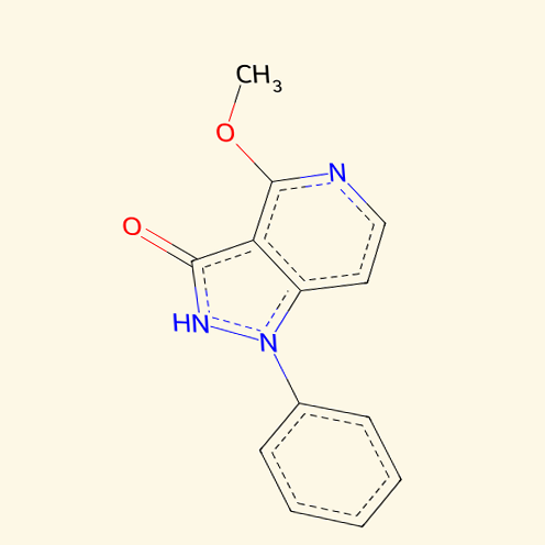 COc1nccc2c1c(=O)[nH]n2-c1ccccc1